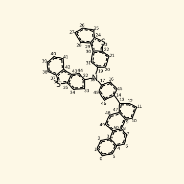 c1ccc2c(c1)ccc1c3cccc(-c4ccc(N(c5ccc6sc7ccccc7c6c5)c5ccc6sc7ccccc7c6c5)cc4)c3ccc21